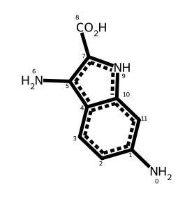 Nc1ccc2c(N)c(C(=O)O)[nH]c2c1